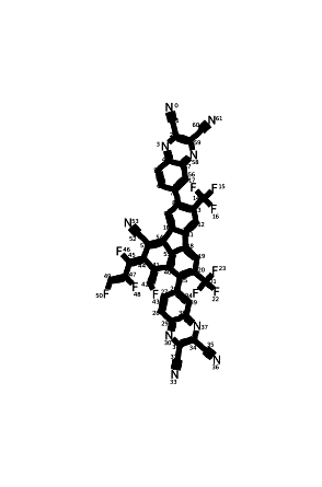 N#Cc1nc2ccc(-c3cc4c(cc3C(F)(F)F)-c3cc(C(F)(F)F)c(-c5ccc6nc(C#N)c(C#N)nc6c5)c5c(=C\F)/c(=C(F)\C(F)=C\F)c(C#N)c-4c35)cc2nc1C#N